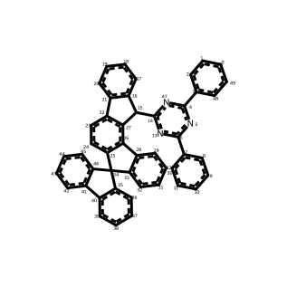 c1ccc(-c2nc(-c3ccccc3)nc(C3c4ccccc4-c4ccc5c(c43)-c3ccccc3C53c4ccccc4-c4ccccc43)n2)cc1